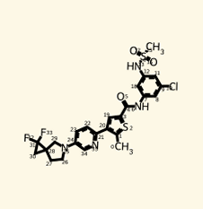 Cc1sc(C(=O)Nc2cc(Cl)cc(NS(C)(=O)=O)c2)cc1-c1ccc(N2CCC3(C2)CC3(F)F)cn1